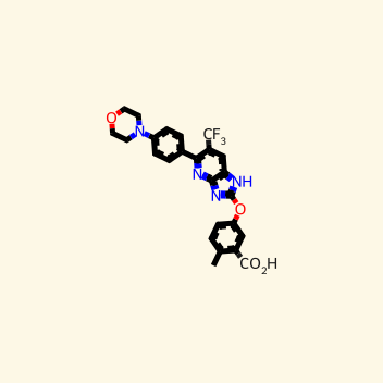 Cc1ccc(Oc2nc3nc(-c4ccc(N5CCOCC5)cc4)c(C(F)(F)F)cc3[nH]2)cc1C(=O)O